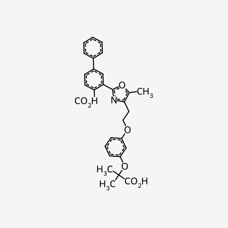 Cc1oc(-c2cc(-c3ccccc3)ccc2C(=O)O)nc1CCOc1cccc(OC(C)(C)C(=O)O)c1